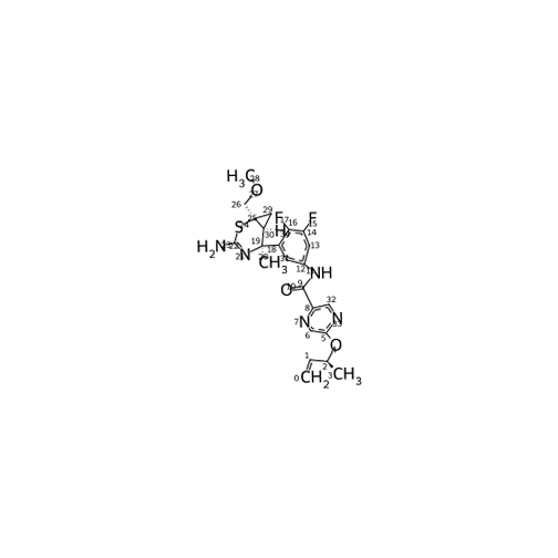 C=C[C@H](C)Oc1cnc(C(=O)Nc2cc(F)c(F)c([C@@]3(C)N=C(N)S[C@@]4(COC)C[C@H]43)c2)cn1